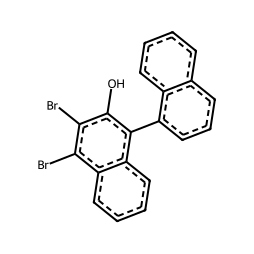 Oc1c(Br)c(Br)c2ccccc2c1-c1cccc2ccccc12